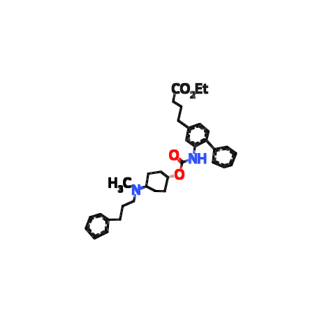 CCOC(=O)CCCc1ccc(-c2ccccc2)c(NC(=O)O[C@H]2CC[C@H](N(C)CCCc3ccccc3)CC2)c1